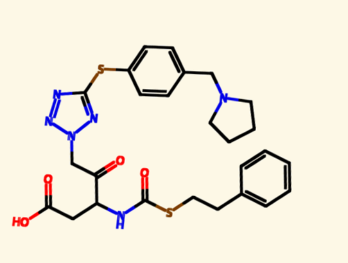 O=C(O)CC(NC(=O)SCCc1ccccc1)C(=O)Cn1nnc(Sc2ccc(CN3CCCC3)cc2)n1